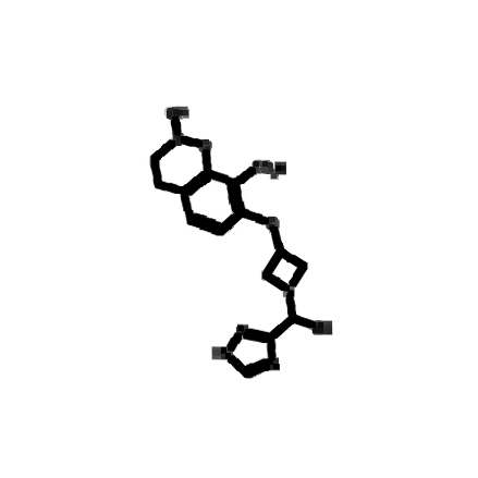 O=C(O)c1c(OC2CN(C(O)c3nc[nH]n3)C2)ccc2c1OB(O)CC2